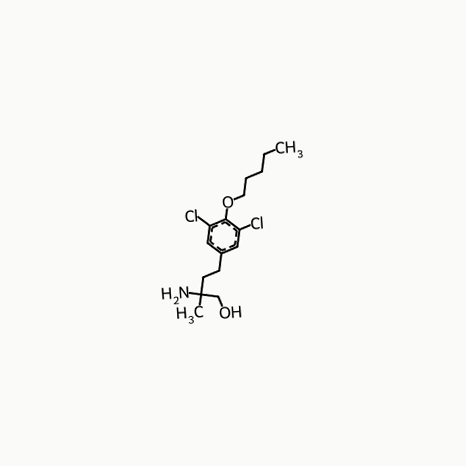 CCCCCOc1c(Cl)cc(CCC(C)(N)CO)cc1Cl